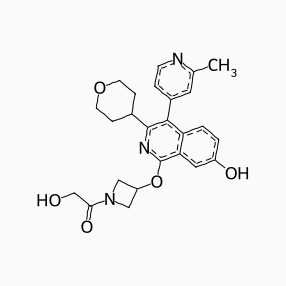 Cc1cc(-c2c(C3CCOCC3)nc(OC3CN(C(=O)CO)C3)c3cc(O)ccc23)ccn1